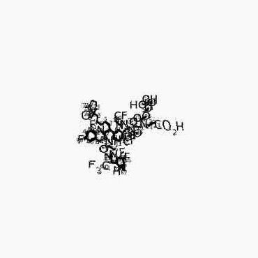 CC(C)(CCc1ccc(-c2ccc(Cl)c3c(N(C(=O)CN(CCC(=O)O)C(=O)OCOP(=O)(O)O)S(C)(=O)=O)nn(CC(F)(F)F)c23)c([C@H](Cc2cc(F)cc(F)c2)NC(=O)Cn2nc(C(F)(F)F)c3c2C(F)(F)C2C[C@H]32)n1)S(C)(=O)=O